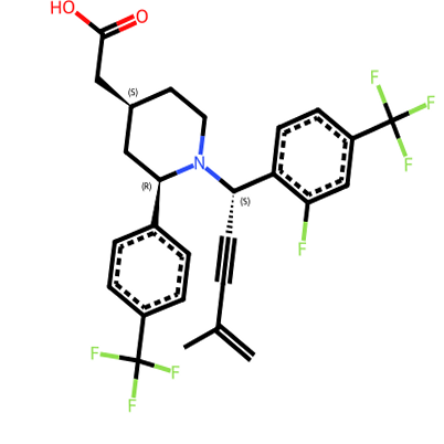 C=C(C)C#C[C@@H](c1ccc(C(F)(F)F)cc1F)N1CC[C@H](CC(=O)O)C[C@@H]1c1ccc(C(F)(F)F)cc1